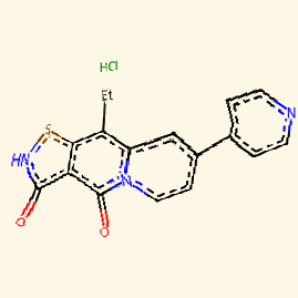 CCc1c2s[nH]c(=O)c2c(=O)n2ccc(-c3ccncc3)cc12.Cl